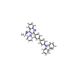 C=Nc1c(N2C=CC=CC2)c(-c2ccc(-c3ccc(-n4c5ccccc5c5ccccc54)cc3)cc2)nc2ccccc12